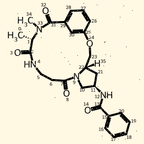 C[C@H]1C(=O)NCCC(=O)N2C[C@H](NC(=O)c3ccccc3)C[C@H]2COc2cccc(c2)C(=O)N1C